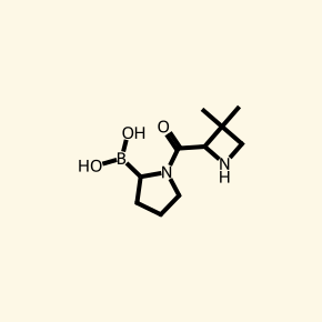 CC1(C)CNC1C(=O)N1CCCC1B(O)O